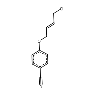 N#Cc1ccc(OC/C=C/CCl)cc1